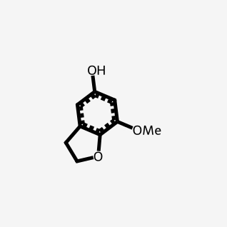 COc1cc(O)cc2c1OCC2